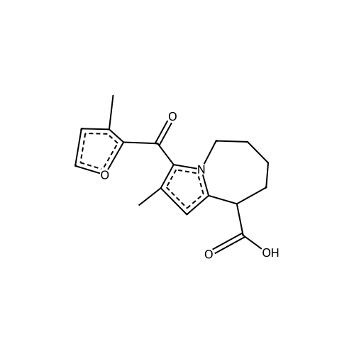 Cc1ccoc1C(=O)c1c(C)cc2n1CCCCC2C(=O)O